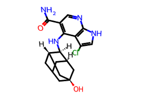 NC(=O)c1cnc2[nH]cc(Cl)c2c1N[C@H]1[C@@H]2CC3C[C@H]1C[C@@](O)(C3)C2